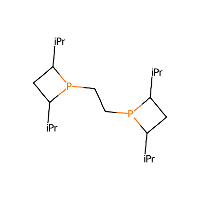 CC(C)C1CC(C(C)C)P1CCP1C(C(C)C)CC1C(C)C